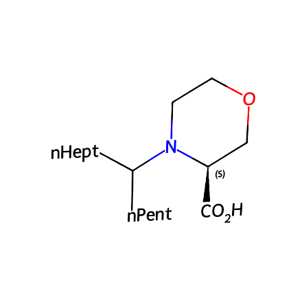 CCCCCCCC(CCCCC)N1CCOC[C@H]1C(=O)O